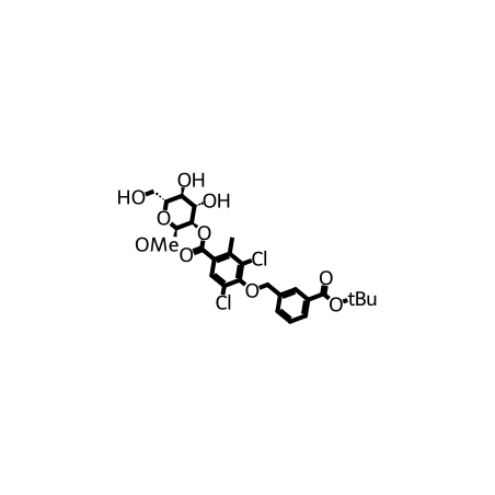 CO[C@H]1O[C@H](CO)[C@@H](O)[C@H](O)[C@H]1OC(=O)c1cc(Cl)c(OCc2cccc(C(=O)OC(C)(C)C)c2)c(Cl)c1C